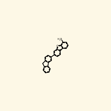 Bc1cccc2c1oc1cc(-c3ccc4c(c3)-c3ccccc3C4)ccc12